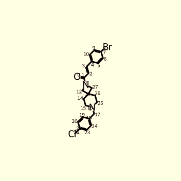 O=C(C=Cc1ccc(Br)cc1)N1CC2(CCN(Cc3ccc(Cl)cc3)CC2)C1